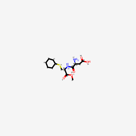 COC(=O)[C@H](CSC1CCCCC1)NC(=O)[C@@H](N)CC(=O)O